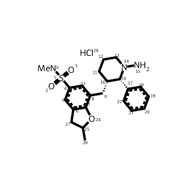 CNS(=O)(=O)c1cc2c(c(C[C@@H]3CCCN(N)[C@@H]3c3ccccc3)c1)OC(C)C2.Cl